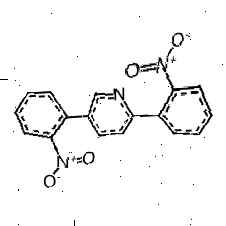 O=[N+]([O-])c1ccccc1-c1ccc(-c2ccccc2[N+](=O)[O-])nc1